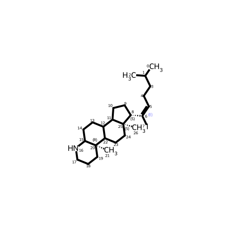 CC(C)CC/C=C(/I)[C@H]1CCC2C3CCC4NCCC[C@]4(C)C3CC[C@@]21C